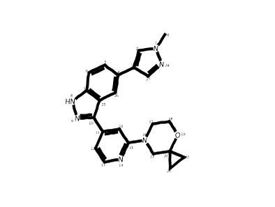 Cn1cc(-c2ccc3[nH]nc(-c4ccnc(N5CCOC6(CC6)C5)c4)c3c2)cn1